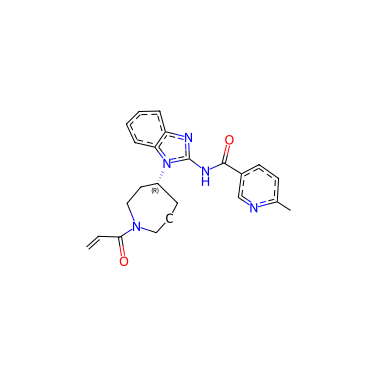 C=CC(=O)N1CCC[C@@H](n2c(NC(=O)c3ccc(C)nc3)nc3ccccc32)CC1